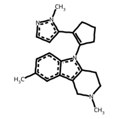 Cc1ccc2c(c1)c1c(n2C2=C(c3ccnn3C)CCC2)CCN(C)C1